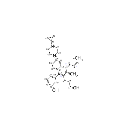 C=C(/C=C\C=C/C)/C(CCCO)=C(\c1ccc(N2CCN(C3CC3)CC2)cc1)c1cccc(O)c1